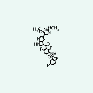 COc1ncc(-c2cnc3c(c2)C(C(=O)c2c(F)ccc(NS(=O)(=O)c4cc(F)ccc4F)c2F)CN3)c(OC)n1